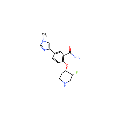 Cn1cnc(-c2ccc(O[C@@H]3CCNC[C@H]3F)c(C(N)=O)c2)c1